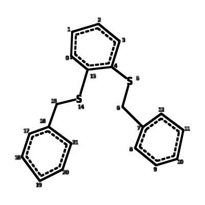 [c]1cccc(SCc2ccccc2)c1SCc1ccccc1